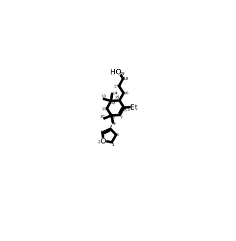 C1=COCC1.CCC1=CC(C)(C)CC(C)(C)C1CCCO